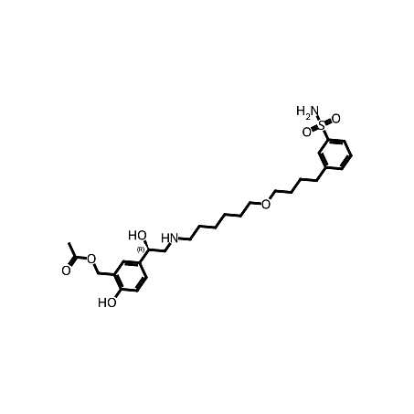 CC(=O)OCc1cc([C@@H](O)CNCCCCCCOCCCCc2cccc(S(N)(=O)=O)c2)ccc1O